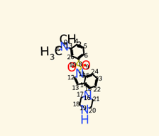 CN(C)c1cccc(S(=O)(=O)n2ccc3c(N4CCNCC4)cccc32)c1